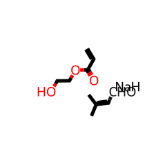 C=CC(=O)OCCO.CC(C)=CC=O.[NaH]